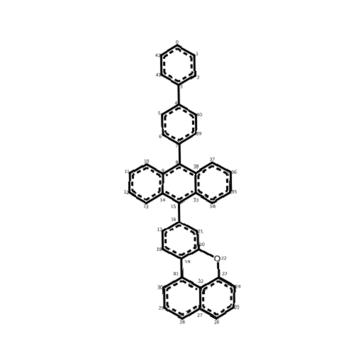 c1ccc(-c2ccc(-c3c4ccccc4c(-c4ccc5c(c4)Oc4cccc6cccc-5c46)c4ccccc34)cc2)cc1